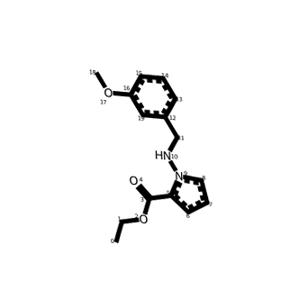 CCOC(=O)c1cccn1NCc1cccc(OC)c1